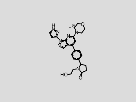 C[C@@H]1COCCN1c1cc(-c2ccc(C3CCC(=O)N3CCO)cc2)c2cnn(-c3cc[nH]n3)c2n1